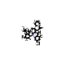 C=C(c1nn(-c2ccc(Cl)cc2Cl)c2c1CCN(C(=O)OC(C)(C)C)/C2=C\c1ccc(F)cc1)N1CCCCC1